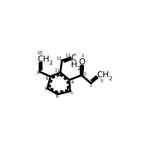 C=CC(=O)c1cccc(C=C)c1C=C